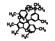 CC1=C(C)C(C)C([Si](c2cc(C)cc(C)c2)(c2cc(C)cc(C)c2)c2cc(C)cc([Si](C)(C)C)c2)=C1C